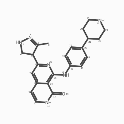 CC1=NNCC1c1cc2cc[nH]c(=O)c2c(Nc2ccc(C3CCNCC3)cc2)n1